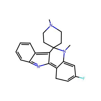 CN1CCC2(CC1)C1=c3ccccc3=NC1=C1CC=C(F)C=C1N2C